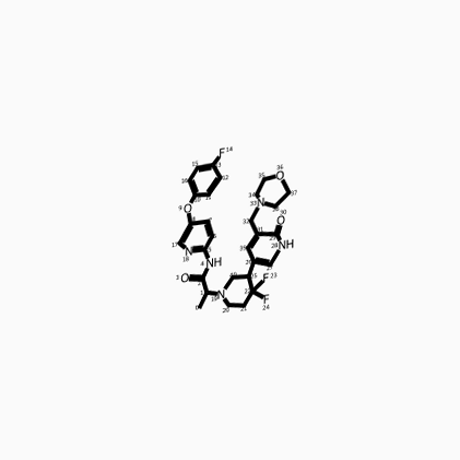 CC(C(=O)Nc1ccc(Oc2ccc(F)cc2)cn1)N1CCC(F)(F)C(c2c[nH]c(=O)c(CN3CCOCC3)c2)C1